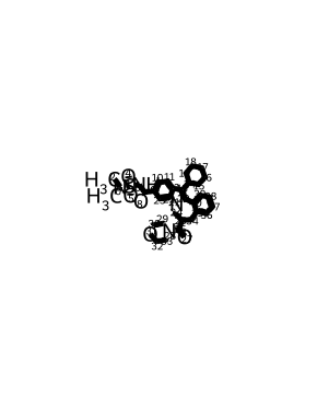 CN(C)S(=O)(=O)NC(=O)c1ccc2c(C3CCCCC3)c3n(c2c1)CC(C(=O)N1CCOCC1)Cc1ccccc1-3